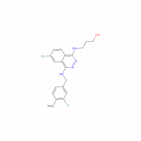 COc1ccc(CNc2nnc(NCCCO)c3ccc(Cl)cc23)cc1Cl